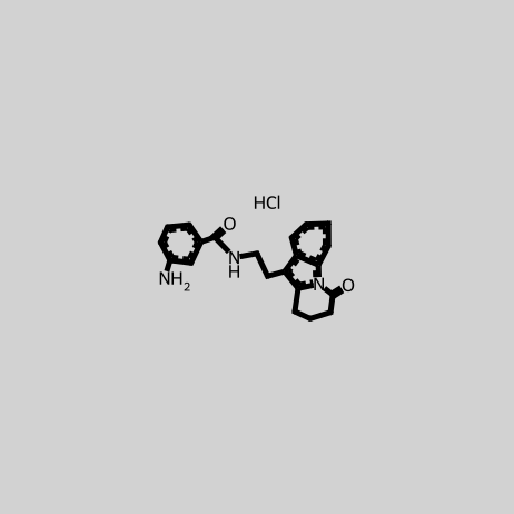 Cl.Nc1cccc(C(=O)NCCc2c3n(c4ccccc24)C(=O)CCC3)c1